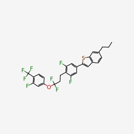 CCCc1ccc2cc(-c3cc(F)c(CCC(F)(F)Oc4ccc(C(F)(F)F)c(F)c4)c(F)c3)sc2c1